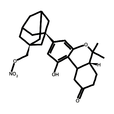 CC1(C)Oc2cc([C@]34CC5CC(C[C@@](CO[N+](=O)[O-])(C5)C3)C4)cc(O)c2C2CC(=O)CC[C@H]21